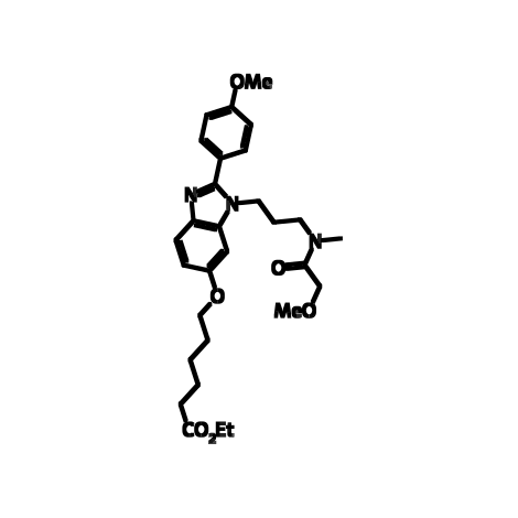 CCOC(=O)CCCCCOc1ccc2nc(-c3ccc(OC)cc3)n(CCCN(C)C(=O)COC)c2c1